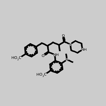 CC(CC(Cc1ccc(C(=O)O)cc1)C(=O)Nc1cc(C(=O)O)ccc1N(C)C)C(=O)N1CCNCC1